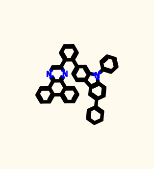 C1=CC(c2ccc3c(c2)c2ccc(-c4ccccc4-c4cnc5c6ccccc6c6ccccc6c5n4)cc2n3-c2ccccc2)=CCC1